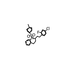 Cc1ccc(S(=O)(=O)N2c3ccccc3CCC2CCc2ccc(Cl)cc2F)cc1